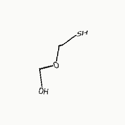 OCOCS